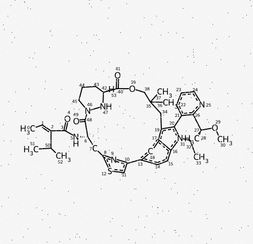 C/C=C(/C(=O)N[C@H]1Cc2nc(cs2)-c2ccc3c(c2)c(c(-c2cccnc2[C@H](C)OC)n3CC)CC(C)(C)COC(=O)[C@@H]2CCCN(N2)C1=O)C(C)C